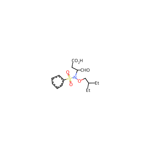 CCC(CC)CON(C(C=O)CC(=O)O)S(=O)(=O)c1ccccc1